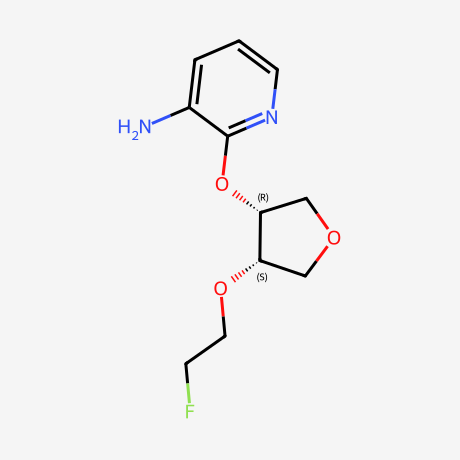 Nc1cccnc1O[C@@H]1COC[C@@H]1OCCF